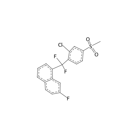 CS(=O)(=O)c1ccc(C(F)(F)c2cccc3ccc(F)cc23)c(Cl)c1